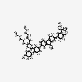 CCCCCCCCC1(CCCCCCCC)c2cc(C)ccc2-c2ccc(-c3ccc4c(c3)C(=O)c3cc(-c5ccc(C)c(C(=O)OC)c5)ccc3-4)cc21